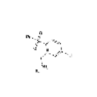 CC(C)S(=O)(=O)c1ccc(Cl)cc1CN.Cl